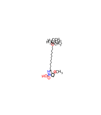 COc1cccc(NC(=O)O)c1C#CCCCCCCCCCCCCCCO[Si](C)(C)C(C)(C)C